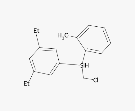 CCc1cc(CC)cc([SiH](CCl)c2ccccc2C)c1